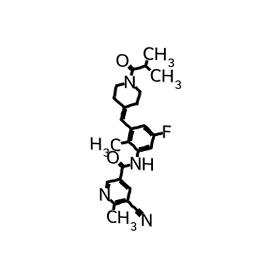 Cc1ncc(C(=O)Nc2cc(F)cc(C=C3CCN(C(=O)C(C)C)CC3)c2C)cc1C#N